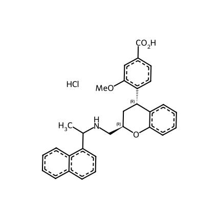 COc1cc(C(=O)O)ccc1[C@H]1C[C@H](CNC(C)c2cccc3ccccc23)Oc2ccccc21.Cl